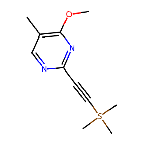 COc1nc(C#CS(C)(C)C)ncc1C